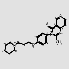 Cc1nc2ccncc2c(=O)n1-c1ccc(OCCCN2CCCCC2)cc1